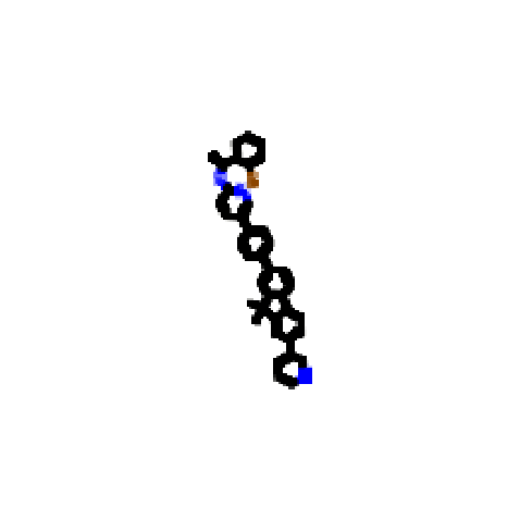 C=C1N=C2C=CC(c3ccc(-c4ccc5c(c4)C(C)(C)c4cc(-c6cccnc6)ccc4-5)cc3)=CN2Sc2ccccc21